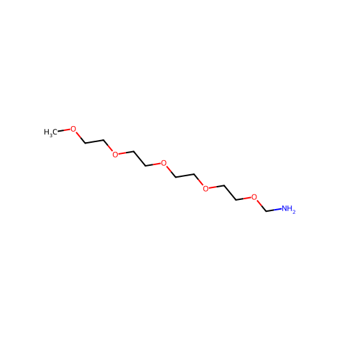 COCCOCCOCCOCCOCN